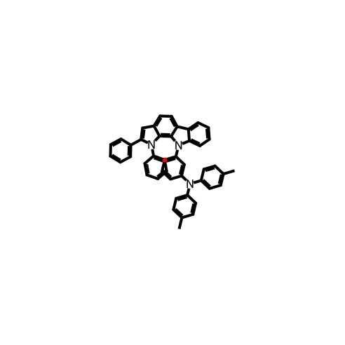 Cc1ccc(N(c2ccc(C)cc2)c2cccc(-n3c4ccccc4c4ccc5cc(-c6ccccc6)n(-c6ccccc6)c5c43)c2)cc1